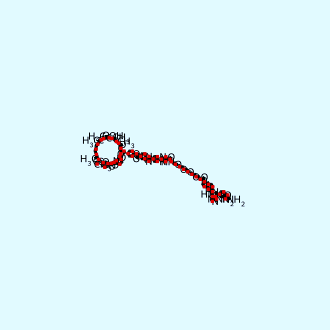 CO[C@H]1CC2CCCC(O2)C(=O)C(=O)N2CCCC[C@H]2C(=O)O[C@H](CC[C@H]2CC[C@H](OC(=O)N3CCc4nc(N5CCN(c6ncc(C(=O)NCCOCCOCCOCCOCCC(=O)N7CCc8cc(CNc9ncnc(N)c9C(=N)c9ccc%10oc(N)nc%10c9)ccc8C7)cn6)CC5)ncc4C3)CC2)CC(=O)[C@H](C)/C=C(\C)[C@@H](O)CC(=O)[C@H](C)C[C@H](C)/C=C/C=C/C=C/1C